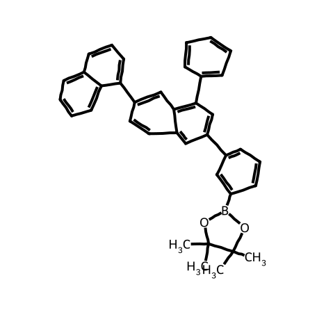 CC1(C)OB(c2cccc(-c3cc(-c4ccccc4)c4cc(-c5cccc6ccccc56)ccc4c3)c2)OC1(C)C